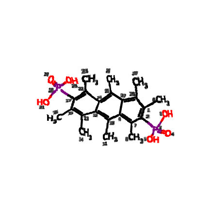 Cc1c(P(=O)(O)O)c(C)c2c(C)c3c(C)c(C)c(P(=O)(O)O)c(C)c3c(C)c2c1C